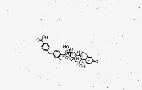 C[C@]12C=CC(=O)C=C1CC[C@@H]1[C@@H]2[C@@H](O)C[C@@]2(C)[C@H]1C[C@H]1O[C@H](c3ccc(Cc4ccc(C(=O)O)cc4)cc3F)O[C@]12C(=O)CO